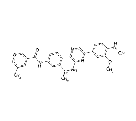 COc1cc(-c2cncc(N[C@@H](C)c3cccc(NC(=O)c4cncc(C)c4)c3)n2)ccc1NO